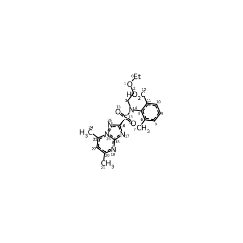 CCOCCN(c1c(C)cccc1C(=O)O)S(=O)(=O)c1nc2nc(C)cc(C)n2n1